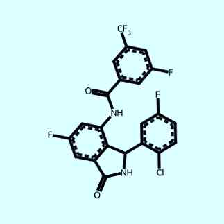 O=C(Nc1cc(F)cc2c1C(c1cc(F)ccc1Cl)NC2=O)c1cc(F)cc(C(F)(F)F)c1